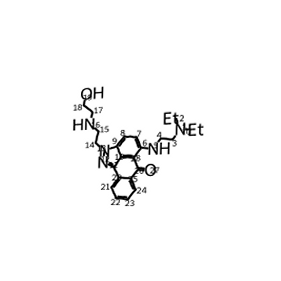 CCN(CC)CCNc1ccc2c3c(nn2CCNCCO)-c2ccccc2C(=O)c13